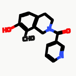 O=Cc1c(O)ccc2c1CN(C(=O)c1cccnc1)CC2